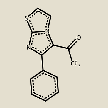 O=C(c1c(-c2ccccc2)nc2sccn12)C(F)(F)F